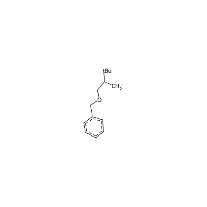 [CH2]C(COCc1ccccc1)C(C)(C)C